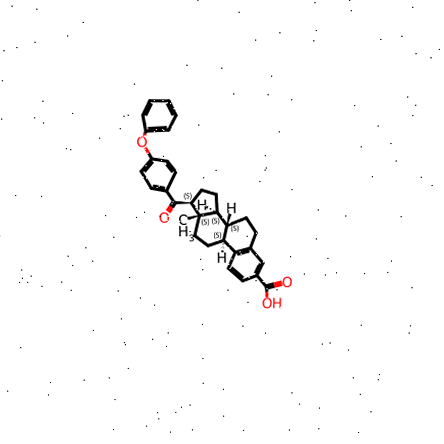 C[C@]12CC[C@@H]3c4ccc(C(=O)O)cc4CC[C@H]3[C@@H]1CC[C@@H]2C(=O)c1ccc(Oc2ccccc2)cc1